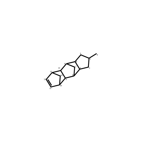 CC1CC2C(C1)C1CC2C2C3C=CC(C3)C12